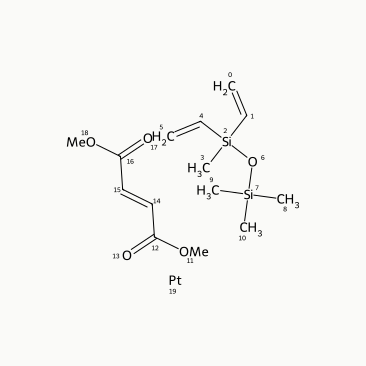 C=C[Si](C)(C=C)O[Si](C)(C)C.COC(=O)C=CC(=O)OC.[Pt]